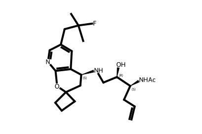 C=CC[C@H](NC(C)=O)[C@H](O)CN[C@H]1CC2(CCC2)Oc2ncc(CC(C)(C)F)cc21